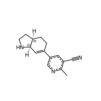 Cc1ncc(C2=C[C@H]3NCC[C@H]3CC2)cc1C#N